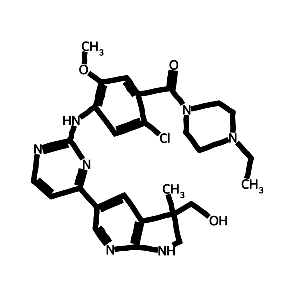 CCN1CCN(C(=O)c2cc(OC)c(Nc3nccc(-c4cnc5c(c4)C(C)(CO)CN5)n3)cc2Cl)CC1